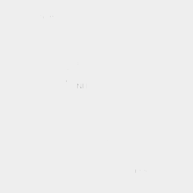 CCCCCCCC/C=C\CCCCCCCCNOC(=O)CCCCCCCCCCCCCCC